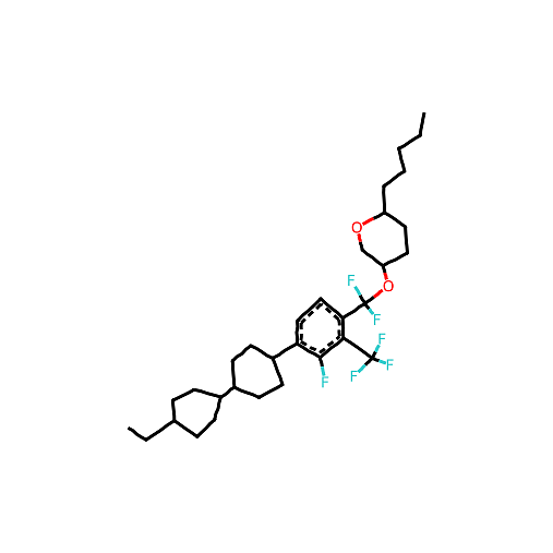 CCCCCC1CCC(OC(F)(F)c2ccc(C3CCC(C4CCC(CC)CC4)CC3)c(F)c2C(F)(F)F)CO1